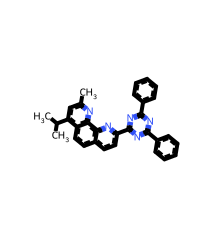 Cc1cc(C(C)C)c2ccc3ccc(-c4nc(-c5ccccc5)nc(-c5ccccc5)n4)nc3c2n1